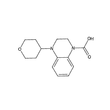 O=C(O)N1CCN(C2CCOCC2)c2ccccc21